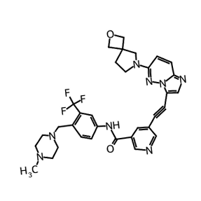 CN1CCN(Cc2ccc(NC(=O)c3cncc(C#Cc4cnc5ccc(N6CCC7(COC7)C6)nn45)c3)cc2C(F)(F)F)CC1